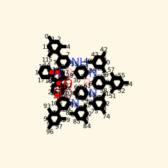 Cc1cc(C)c(-c2cc3c4c(c2)N(c2ccccc2)c2c(oc5ccccc25)B4c2cc4c(cc2N3)N(c2c(C)cc(C)cc2C)c2cc(-c3c(C)cc(C)cc3C)cc3c2B4c2cc4c(cc2N3c2c(C)cc(C)cc2C)N(c2c(C)cc(C)cc2C)c2cc(-c3c(C)cc(C)cc3C)cc3c2B4c2oc4ccccc4c2O3)c(C)c1